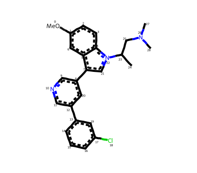 COc1ccc2c(c1)c(-c1cncc(-c3cccc(Cl)c3)c1)cn2C(C)CN(C)C